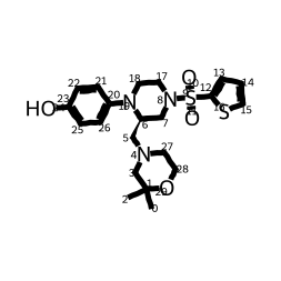 CC1(C)CN(C[C@@H]2CN(S(=O)(=O)c3cccs3)CCN2c2ccc(O)cc2)CCO1